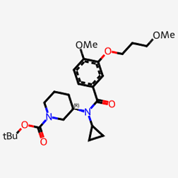 COCCCOc1cc(C(=O)N(C2CC2)[C@@H]2CCCN(C(=O)OC(C)(C)C)C2)ccc1OC